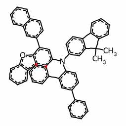 CC1(C)c2ccccc2-c2ccc(N(c3cc(-c4ccc5ccccc5c4)c4oc5ccccc5c4c3)c3ccc(-c4ccccc4)cc3-c3ccccc3)cc21